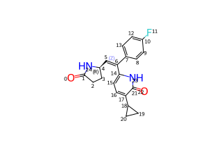 O=C1CC[C@H](/C=C(/c2ccc(F)cc2)c2ccc(C3CC3)c(=O)[nH]2)N1